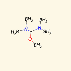 BOC(N(B)B)N(B)B